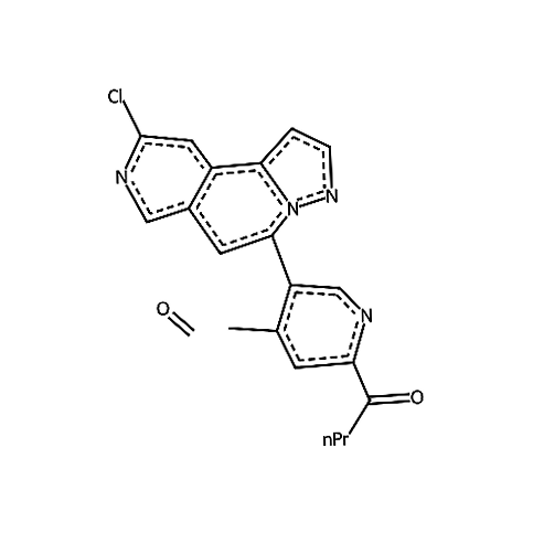 C=O.CCCC(=O)c1cc(C)c(-c2cc3cnc(Cl)cc3c3ccnn23)cn1